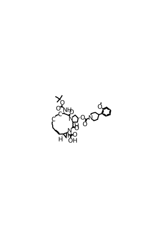 COc1ccccc1C1CCN(C(=O)O[C@@H]2C[C@H]3C(=O)N[C@]4(C(=O)O)C[C@H]4C=CCCCCC[C@H](NC(=O)OC(C)(C)C)C(=O)N3C2)CC1